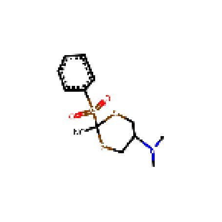 CN(C)C1CSC(C#N)(S(=O)(=O)c2ccccc2)SC1